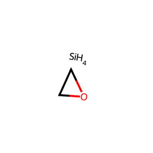 C1CO1.[SiH4]